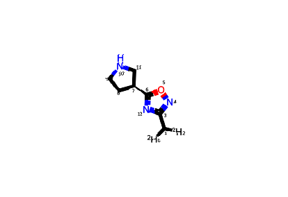 [2H]C([2H])c1noc([C@H]2CCNC2)n1